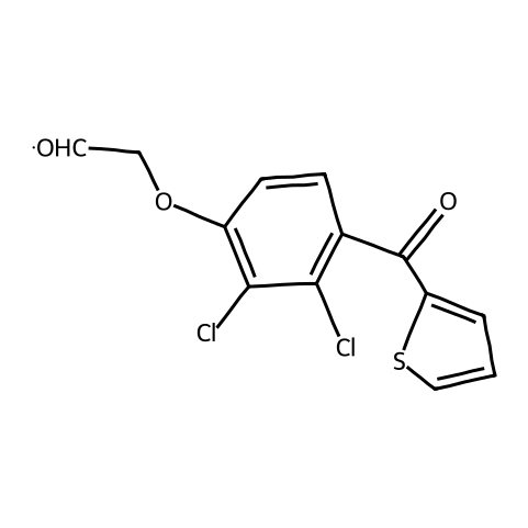 O=[C]COc1ccc(C(=O)c2cccs2)c(Cl)c1Cl